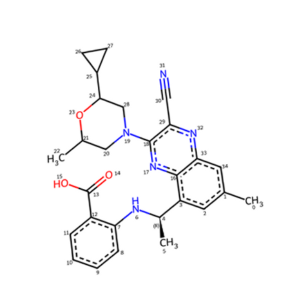 Cc1cc([C@@H](C)Nc2ccccc2C(=O)O)c2nc(N3CC(C)OC(C4CC4)C3)c(C#N)nc2c1